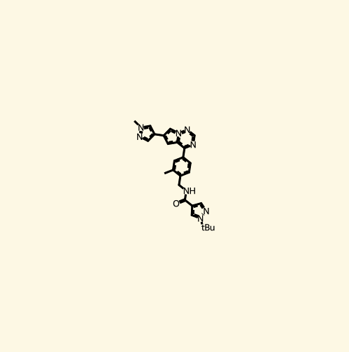 Cc1cc(-c2ncnn3cc(-c4cnn(C)c4)cc23)ccc1CNC(=O)c1cnn(C(C)(C)C)c1